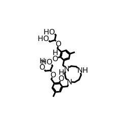 Cc1cc(COC(CO)CO)c(O)c(CN2CCCNCCN(Cc3cc(C)cc(COC(CO)CO)c3O)CC2)c1